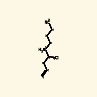 C=CCC(Cl)[SiH2]CCCC#N